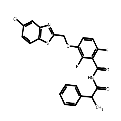 CC(C(=O)NC(=O)c1c(F)ccc(OCc2nc3cc(Cl)ccc3s2)c1F)c1ccccc1